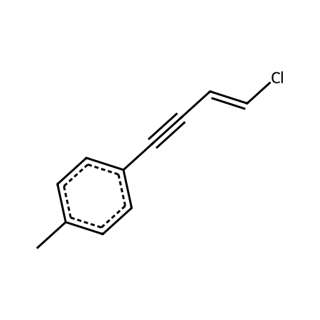 Cc1ccc(C#C/C=C/Cl)cc1